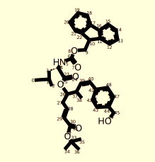 CC(C)C[C@H](NC(=O)OCC1c2ccccc2-c2ccccc21)C(=O)OC(C/C=C/C(=O)OC(C)(C)C)C(C)/C=C\c1ccc(CO)cc1